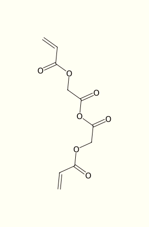 C=CC(=O)OCC(=O)OC(=O)COC(=O)C=C